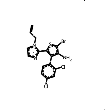 C=CCn1ccnc1-c1sc(Br)c(N)c1-c1ccc(Cl)cc1Cl